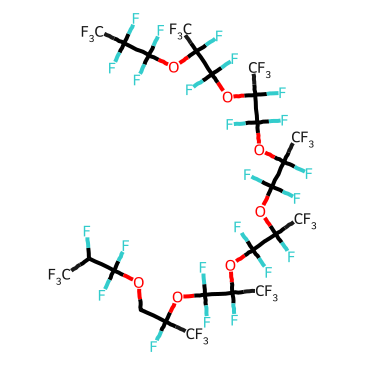 FC(C(F)(F)F)C(F)(F)OCC(F)(OC(F)(F)C(F)(OC(F)(F)C(F)(OC(F)(F)C(F)(OC(F)(F)C(F)(OC(F)(F)C(F)(OC(F)(F)C(F)(F)C(F)(F)F)C(F)(F)F)C(F)(F)F)C(F)(F)F)C(F)(F)F)C(F)(F)F)C(F)(F)F